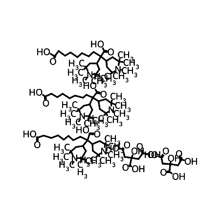 CN1C(C)(C)CC(C(CCCCCCCC(=O)O)(C(=O)O)C2CC(C)(C)N(C)C(C)(C)C2)CC1(C)C.CN1C(C)(C)CC(C(CCCCCCCC(=O)O)(C(=O)O)C2CC(C)(C)N(C)C(C)(C)C2)CC1(C)C.CN1C(C)(C)CC(C(CCCCCCCC(=O)O)(C(=O)O)C2CC(C)(C)N(C)C(C)(C)C2)CC1(C)C.O=C(O)CC(O)(CC(=O)O)C(=O)O.O=C(O)CC(O)(CC(=O)O)C(=O)O